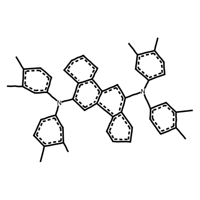 Cc1ccc(N(c2ccc(C)c(C)c2)c2cc3c4ccccc4c(N(c4ccc(C)c(C)c4)c4ccc(C)c(C)c4)cc3c3ccccc23)cc1C